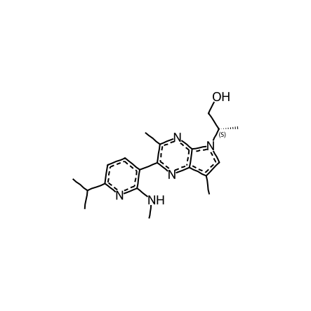 CNc1nc(C(C)C)ccc1-c1nc2c(C)cn([C@@H](C)CO)c2nc1C